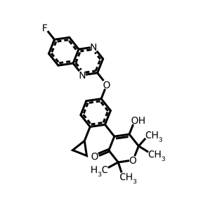 CC1(C)OC(C)(C)C(O)=C(c2cc(Oc3cnc4cc(F)ccc4n3)ccc2C2CC2)C1=O